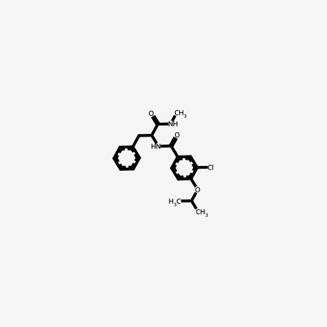 CNC(=O)C(Cc1ccccc1)NC(=O)c1ccc(OC(C)C)c(Cl)c1